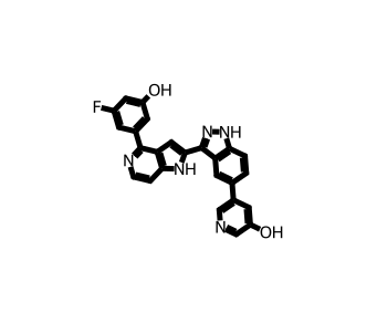 Oc1cncc(-c2ccc3[nH]nc(-c4cc5c(-c6cc(O)cc(F)c6)nccc5[nH]4)c3c2)c1